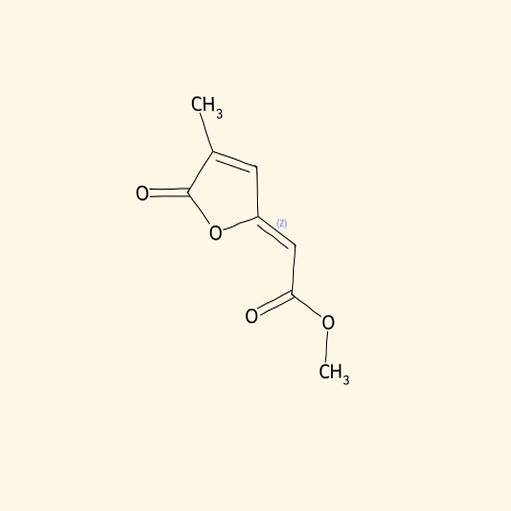 COC(=O)/C=C1/C=C(C)C(=O)O1